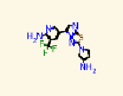 Nc1ncc(-c2cnc3sc(N4CCC(N)C4)nn23)cc1C(F)(F)F